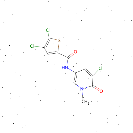 Cn1cc(NC(=O)c2cc(Cl)c(Cl)s2)cc(Cl)c1=O